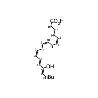 CCCC/C=C(O)/C=C/C=C\C/C=C\C/C=C\CCCC(=O)O